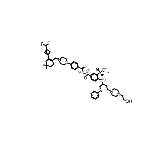 CC1(C)CCC(CN2CCN(c3ccc(C(=O)NS(=O)(=O)c4ccc(NC(CCN5CCN(CCO)CC5)CSc5ccccc5)c(S(=O)(=O)C(F)(F)F)c4)cc3)CC2)=C(C23CC(C(F)F)(C2)C3)C1